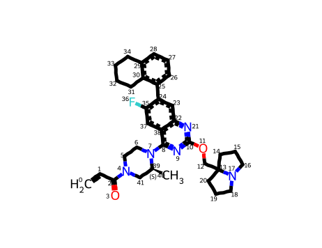 C=CC(=O)N1CCN(c2nc(OCC34CCCN3CCC4)nc3cc(-c4cccc5c4CCCC5)c(F)cc23)[C@@H](C)C1